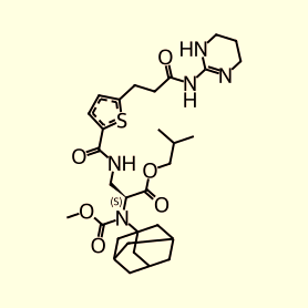 COC(=O)N([C@@H](CNC(=O)c1ccc(CCC(=O)NC2=NCCCN2)s1)C(=O)OCC(C)C)C12CC3CC(CC(C3)C1)C2